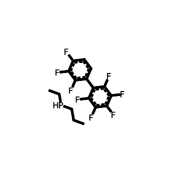 CCCPCC.Fc1ccc(-c2c(F)c(F)c(F)c(F)c2F)c(F)c1F